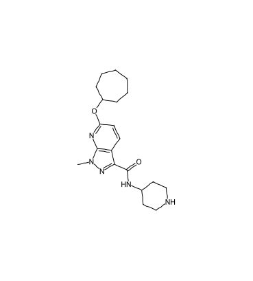 Cn1nc(C(=O)NC2CCNCC2)c2ccc(OC3CCCCCC3)nc21